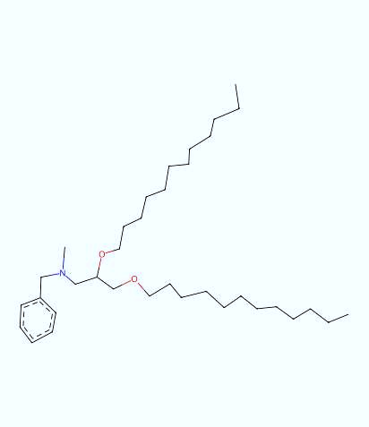 CCCCCCCCCCCCOCC(CN(C)Cc1ccccc1)OCCCCCCCCCCCC